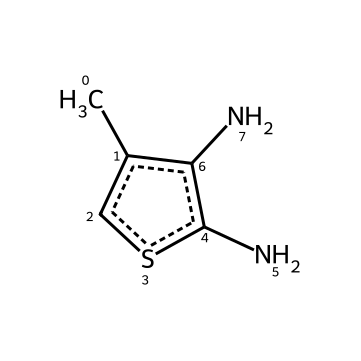 Cc1csc(N)c1N